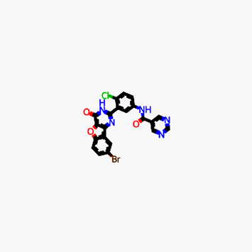 O=C(Nc1ccc(Cl)c(-c2nc3c(oc4ccc(Br)cc43)c(=O)[nH]2)c1)c1cncnc1